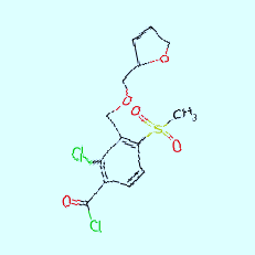 CS(=O)(=O)c1ccc(C(=O)Cl)c(Cl)c1COCC1CCCO1